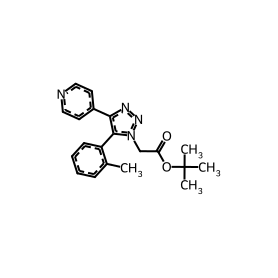 Cc1ccccc1-c1c(-c2ccncc2)nnn1CC(=O)OC(C)(C)C